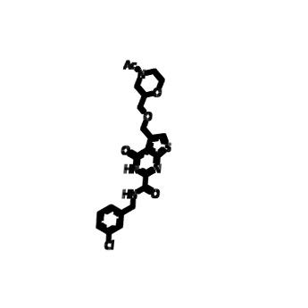 CC(=O)N1CCOC(COCc2csc3nc(C(=O)NCc4cccc(Cl)c4)[nH]c(=O)c23)C1